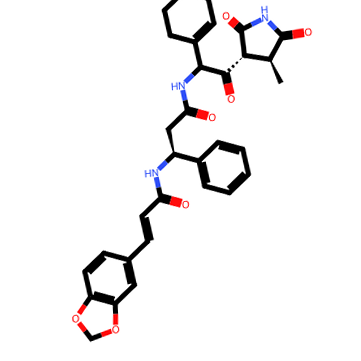 C[C@@H]1C(=O)NC(=O)[C@H]1C(=O)C(NC(=O)C[C@H](NC(=O)/C=C/c1ccc2c(c1)OCO2)c1ccccc1)C1=CCCCC1